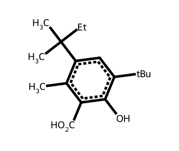 CCC(C)(C)c1cc(C(C)(C)C)c(O)c(C(=O)O)c1C